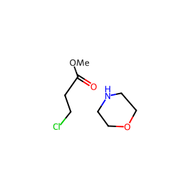 C1COCCN1.COC(=O)CCCl